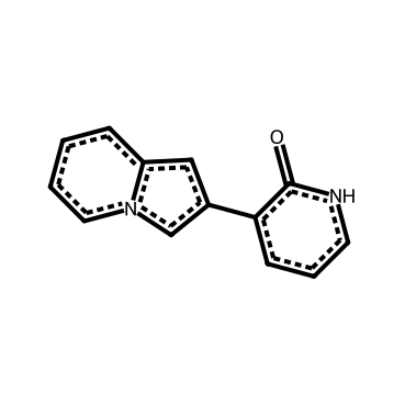 O=c1[nH]cccc1-c1cc2ccccn2c1